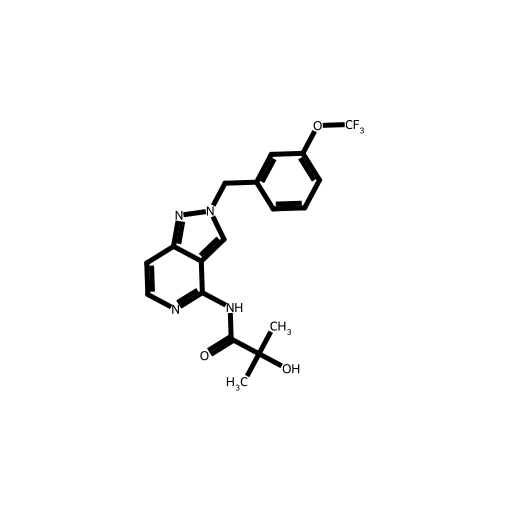 CC(C)(O)C(=O)Nc1nccc2nn(Cc3cccc(OC(F)(F)F)c3)cc12